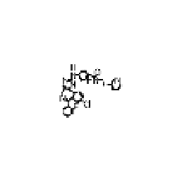 O=C(NCCc1cccnc1)c1ccc(Nc2ncc3c(n2)-c2ccc(Cl)cc2C(c2ccccc2F)=NC3)cc1